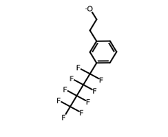 [O]CCc1cccc(C(F)(F)C(F)(F)C(F)(F)C(F)(F)F)c1